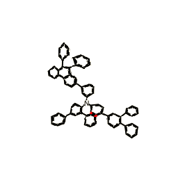 c1ccc(-c2ccc(N(c3ccc(-c4ccc(-c5ccccc5)c(-c5ccccc5)c4)cc3)c3cccc(-c4ccc5c(c4)c(-c4ccccc4)c(-c4ccccc4)c4ccccc45)c3)c(-c3ccccc3)c2)cc1